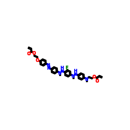 C=CC(=O)OCCOc1ccc(/N=N/c2ccc(N(C)Nc3ccc(N(C)Nc4ccc(N(C)CCOC(=O)C=C)cc4)cc3F)cc2)cc1